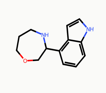 c1cc(C2COCCCN2)c2cc[nH]c2c1